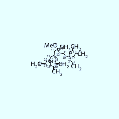 C=CC[Si](CC=C)(CC=C)CCCC([SiH3])(CCC[Si](CC=C)(CC=C)CC=C)OC